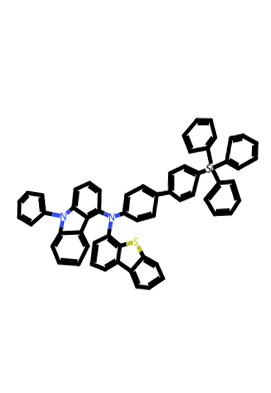 c1ccc(-n2c3ccccc3c3c(N(c4ccc(-c5ccc([Si](c6ccccc6)(c6ccccc6)c6ccccc6)cc5)cc4)c4cccc5c4sc4ccccc45)cccc32)cc1